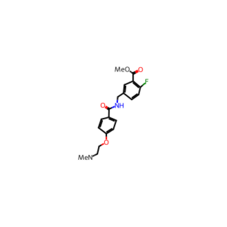 CNCCOc1ccc(C(=O)NCc2ccc(F)c(C(=O)OC)c2)cc1